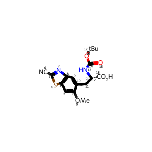 COc1cc2sc(C#N)nc2cc1C[C@H](NC(=O)OC(C)(C)C)C(=O)O